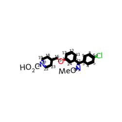 CON=C(c1ccc(Cl)cc1)c1cccc(OCC2CCN(C(=O)O)CC2)c1